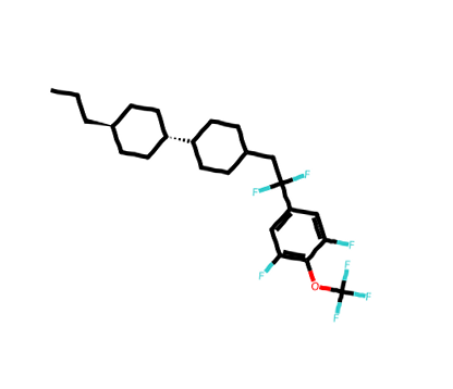 CCC[C@H]1CC[C@H](C2CCC(CC(F)(F)c3cc(F)c(OC(F)(F)F)c(F)c3)CC2)CC1